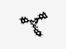 c1ccc2cc(-c3cc4n(n3)c3cc(-c5ccc6ccccc6c5)nn3c3cc(-c5ccc6ccccc6c5)nn43)ccc2c1